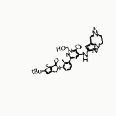 Cc1c(-c2cc(Nc3cc4n(n3)CCN(C)C4)c(=O)n(CO)n2)cccc1N1Cc2cc(C(C)(C)C)sc2C1=O